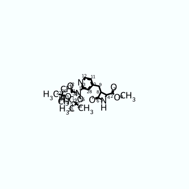 COC(=O)C1NC(=O)C1Cc1ccnc(N(OC(C)(C)C)C(=O)OC(C)(C)C)c1